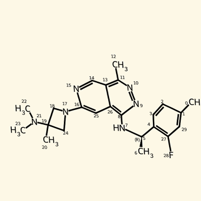 Cc1ccc([C@@H](C)Nc2nnc(C)c3cnc(N4CC(C)(N(C)C)C4)cc23)c(F)c1